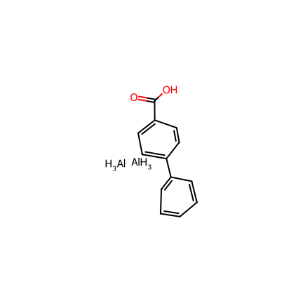 O=C(O)c1ccc(-c2ccccc2)cc1.[AlH3].[AlH3]